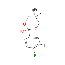 CCCC1(C)COC(O)(c2ccc(F)c(F)c2)OC1